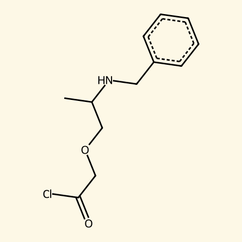 CC(COCC(=O)Cl)NCc1ccccc1